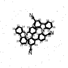 N#Cc1ccc(-c2ccccc2-n2c3ccccc3c3ccccc32)c(-c2ccc(C#N)c(-n3c4ccccc4c4cc(C#N)ccc43)c2)c1